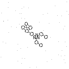 c1ccc(-c2cccc(-c3nc(-c4ccc(-c5ccc6c(c5)C5(c7ccccc7-c7ccccc75)c5ccccc5-6)cc4)nc(-c4cccc(-c5ccccc5)c4)n3)c2)cc1